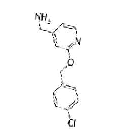 NCc1ccnc(OCc2ccc(Cl)cc2)c1